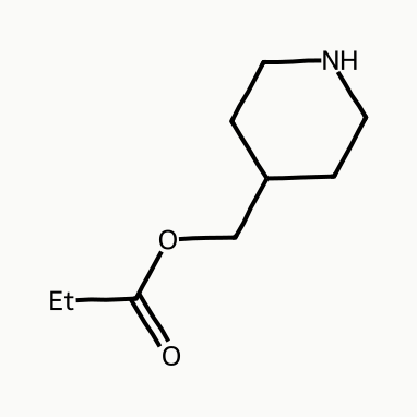 CCC(=O)OCC1CCNCC1